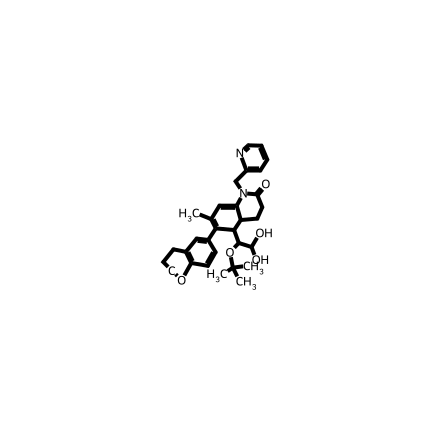 CC1=C(c2ccc3c(c2)CCCO3)C(C(OC(C)(C)C)C(O)O)C2CCC(=O)N(Cc3ccccn3)C2=C1